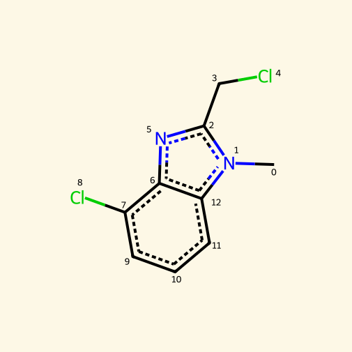 Cn1c(CCl)nc2c(Cl)cccc21